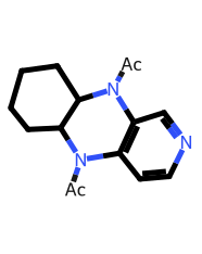 CC(=O)N1c2ccncc2N(C(C)=O)C2CCCCC21